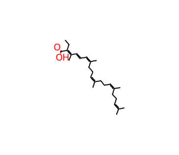 CCC(C(=O)O)=C(C)C=CC=C(C)CCC=C(C)CCC=C(C)CCC=C(C)C